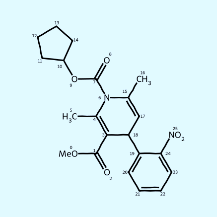 COC(=O)C1=C(C)N(C(=O)OC2CCCC2)C(C)=CC1c1ccccc1[N+](=O)[O-]